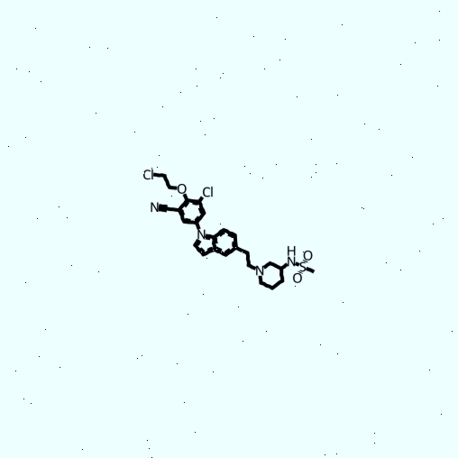 CS(=O)(=O)NC1CCCN(CCc2ccc3c(ccn3-c3cc(Cl)c(OCCCl)c(C#N)c3)c2)C1